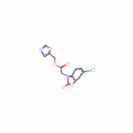 O=C(Cn1c(=O)oc2cc(Cl)ccc21)OCc1cncs1